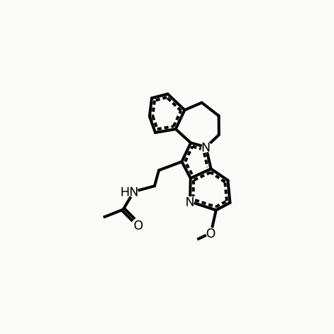 COc1ccc2c(n1)c(CCNC(C)=O)c1n2CCCc2ccccc2-1